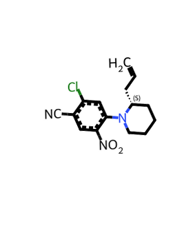 C=CC[C@@H]1CCCCN1c1cc(Cl)c(C#N)cc1[N+](=O)[O-]